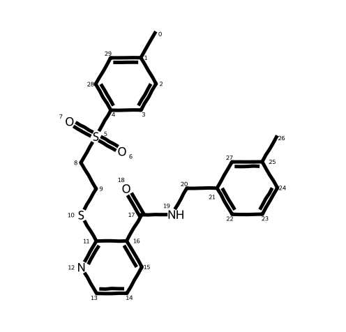 Cc1ccc(S(=O)(=O)CCSc2ncccc2C(=O)NCc2cccc(C)c2)cc1